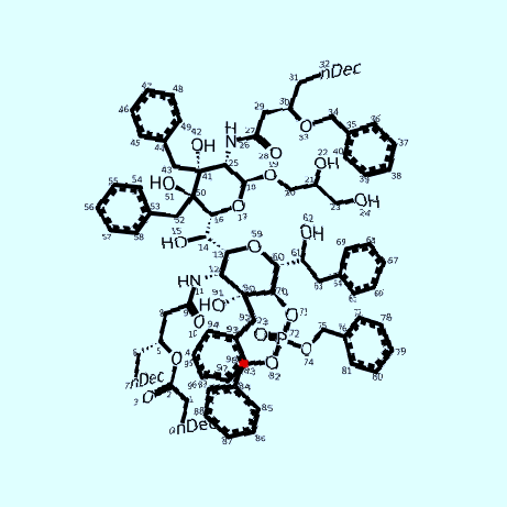 CCCCCCCCCCCC(=O)O[C@H](CCCCCCCCCCC)CC(=O)N[C@@H]1[C@H](C(O)[C@H]2O[C@H](OCC(O)CO)[C@@H](NC(=O)C[C@@H](CCCCCCCCCCC)OCc3ccccc3)[C@](O)(Cc3ccccc3)[C@@]2(O)Cc2ccccc2)O[C@H](C(O)Cc2ccccc2)[C@@H](OP(=O)(OCc2ccccc2)OCc2ccccc2)[C@@]1(O)Cc1ccccc1